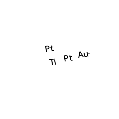 [Au].[Pt].[Pt].[Ti]